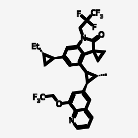 CC[C@H]1C[C@@H]1c1cc(C2[C@H](C)[C@H]2c2cc(OCC(F)(F)F)c3ncccc3c2)c2c(c1)N(CC(F)(F)C(F)(F)F)C(=O)C21CC1